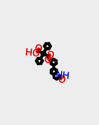 O=C1CCc2ccc(-c3cccc(OC(=O)C4C(c5ccccc5)C(C(=O)O)C4c4ccccc4)c3)cc2N1